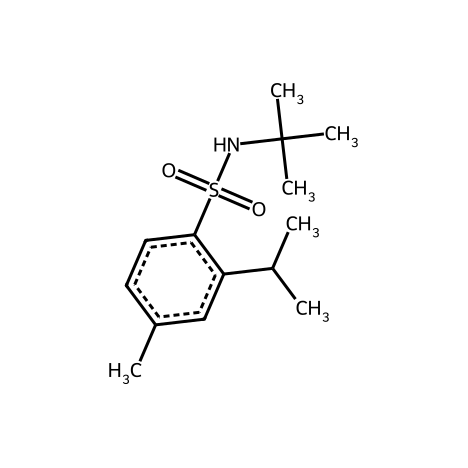 Cc1ccc(S(=O)(=O)NC(C)(C)C)c(C(C)C)c1